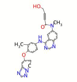 Cc1cc(Nc2ncnc3ccc(N(C)C(=O)C#CCO)cc23)ccc1Oc1ccn2ncnc2c1